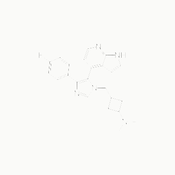 CN(C)C1CC(Cn2cnc(-c3ccc(F)cc3)c2-c2ccnc3[nH]ccc23)C1